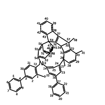 Cc1cc(-c2ccccc2)ccc1N1c2cc(-c3ccccc3)cc(c2)C2(C)C=CC(C)C3=C2C(C)C2=C(c4ccccc4C24c2ccccc2-c2ccc1cc24)C3C